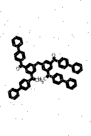 C=C(c1ccc(-c2ccccc2)cc1)c1cc(Cc2cc(C(=C)c3ccc(-c4ccccc4)cc3)cc(C(=O)c3ccc(-c4ccccc4)cc3)c2)cc(C(=O)c2ccc(-c3ccccc3)cc2)c1